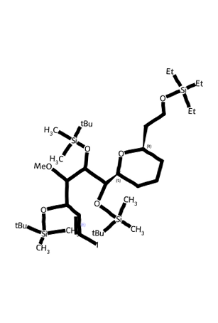 CC[Si](CC)(CC)OCC[C@H]1CCC[C@@H](C(O[Si](C)(C)C(C)(C)C)C(O[Si](C)(C)C(C)(C)C)C(OC)C(/C=C/I)O[Si](C)(C)C(C)(C)C)O1